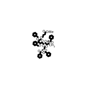 COC(=O)CCCOC1OC(COC(OC(COC(C)=O)[C@H](C)OC(=O)c2ccccc2)[C@@H](COC(=O)c2ccccc2)OC(=O)c2ccccc2)C(OCc2ccccc2)C(O)C1OCc1ccccc1